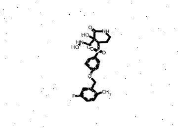 Cc1ccc(F)cc1COc1ccc(S(=O)(=O)C2CCNC(=O)C2(O)C(=O)NO)cc1